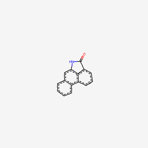 O=C1Nc2cc3ccccc3c3cccc1c23